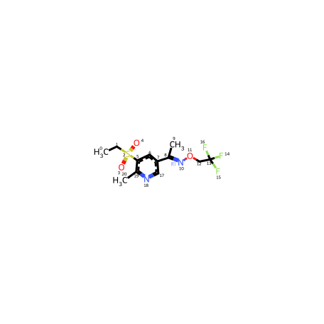 CCS(=O)(=O)c1cc(/C(C)=N/OCC(F)(F)F)cnc1C